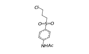 CC(=O)Nc1ccc(S(=O)(=O)CCCCl)cc1